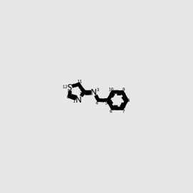 C1=N/C(=N\Cc2ccccc2)CS1